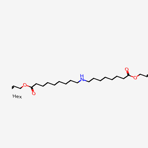 CCCCCC/C=C\COC(=O)CCCCCCCCNCCCCCCCC(=O)OC/C=C\CCCCCC